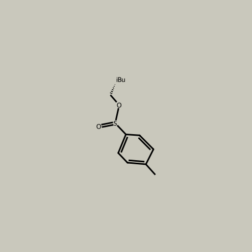 CC[C@@H](C)COS(=O)c1ccc(C)cc1